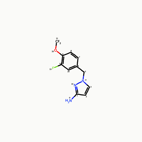 Nc1ccn(Cc2ccc(OC(F)(F)F)c(F)c2)n1